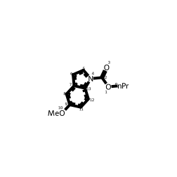 CCCOC(=O)n1ccc2cc(OC)ccc21